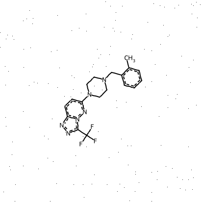 Cc1ccccc1CN1CCN(c2ccc3nnc(C(F)(F)F)n3n2)CC1